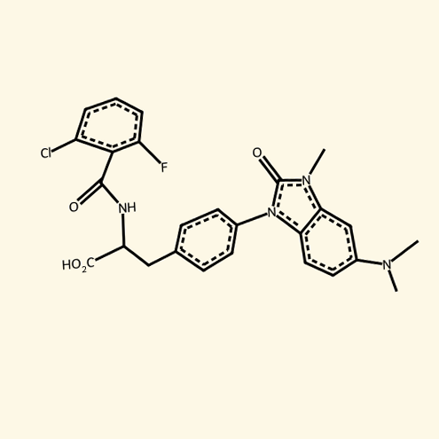 CN(C)c1ccc2c(c1)n(C)c(=O)n2-c1ccc(CC(NC(=O)c2c(F)cccc2Cl)C(=O)O)cc1